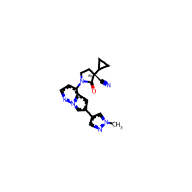 Cn1cc(-c2cc3c(N4CC[C@](C#N)(C5CC5)C4=O)ccnn3c2)cn1